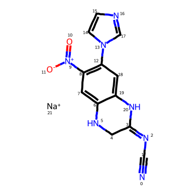 N#CN=C1CNc2cc([N+](=O)[O-])c(-n3ccnc3)cc2N1.[Na+]